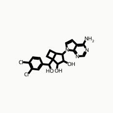 Nc1ncnc2c1ccn2C1C(O)C(O)C2(C(O)c3ccc(Cl)c(Cl)c3)CCC12